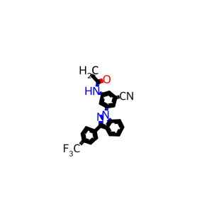 C=CC(=O)Nc1cc(C#N)cc(-n2nc(-c3ccc(C(F)(F)F)cc3)c3ccccc32)c1